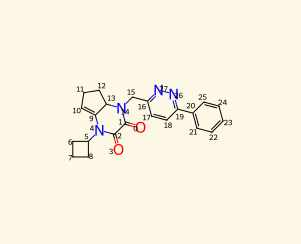 O=C1C(=O)N(C2CCC2)C2=CCCC2N1Cc1ccc(-c2ccccc2)nn1